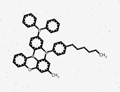 CCCCCCc1ccc(N2c3cc(N(c4ccccc4)c4ccccc4)ccc3B3c4ccccc4Oc4cc(C)cc2c43)cc1